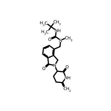 C=C1CCC(N2Cc3c(CN(C)C(=O)NC(C)(C)C)cccc3C2=O)C(=O)N1